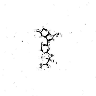 CCNC(=O)C(C)(C)Nc1ncnc(-c2cn(N)c3ncc(Cl)cc23)n1